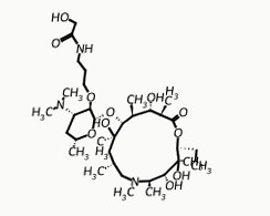 CC[C@H]1OC(=O)[C@H](C)[C@@H](O)[C@H](C)[C@@H](O[C@@H]2O[C@H](C)C[C@H](N(C)C)[C@H]2OCCCNC(=O)CO)[C@](C)(O)C[C@@H](C)CN(C)[C@H](C)[C@@H](O)[C@]1(C)O